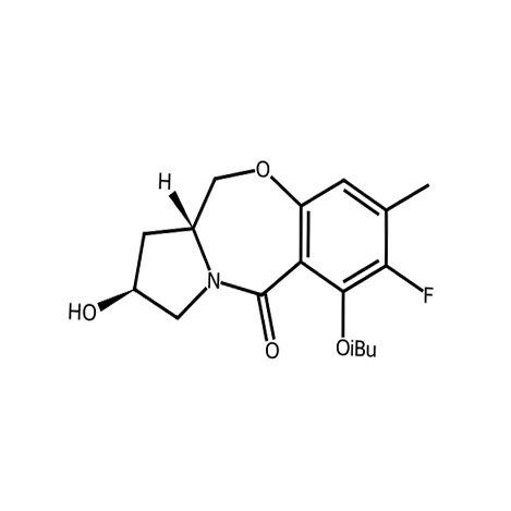 Cc1cc2c(c(OCC(C)C)c1F)C(=O)N1C[C@@H](O)C[C@@H]1CO2